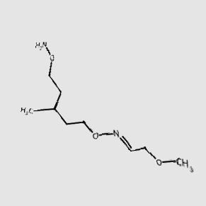 COCC=NOCCC(C)CCON